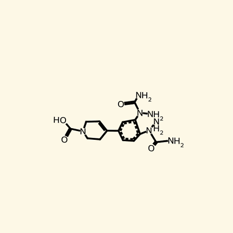 NC(=O)N(N)c1ccc(C2=CCN(C(=O)O)CC2)cc1N(N)C(N)=O